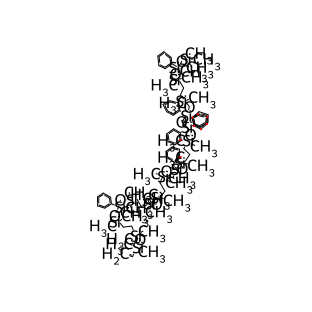 C=C[Si](C)(C)O[Si](C)(C)CC[Si](C)(C)O[Si](C)(O[Si](C)(C)CC[Si](C)(C)O[Si](C)(C)CC[Si](C)(C)O[Si](C)(O[Si](C)(C)CC[Si](C)(C)O[Si](O[Si](O[Si](C)(C)CC[Si](C)(C)O[Si](C)(O[Si](C)(C)C)c1ccccc1)(c1ccccc1)c1ccccc1)(c1ccccc1)c1ccccc1)c1ccccc1)c1ccccc1